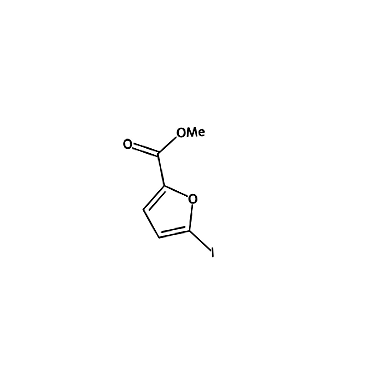 COC(=O)c1ccc(I)o1